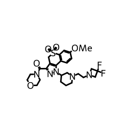 COc1ccc2c(c1)S(=O)(=O)Cc1c(C(=O)N3CCOCC3)nn(C3CCCN(CCN4CC(F)(F)C4)C3)c1-2